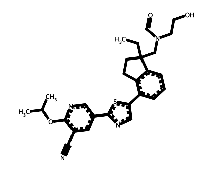 CCC1(CN(C=O)CCO)CCc2c(-c3cnc(-c4cnc(OC(C)C)c(C#N)c4)s3)cccc21